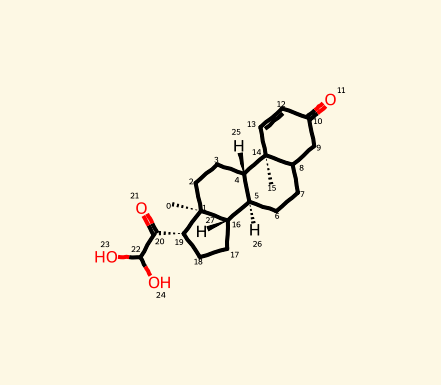 C[C@]12CC[C@H]3[C@@H](CCC4CC(=O)C=C[C@@]43C)[C@@H]1CC[C@@H]2C(=O)C(O)O